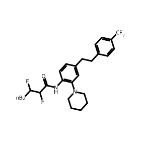 CCCCC(F)C(F)C(=O)Nc1ccc(CCc2ccc(C(F)(F)F)cc2)cc1N1CCCCC1